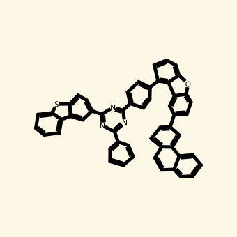 c1ccc(-c2nc(-c3ccc(-c4cccc5oc6ccc(-c7ccc8ccc9ccccc9c8c7)cc6c45)cc3)nc(-c3ccc4sc5ccccc5c4c3)n2)cc1